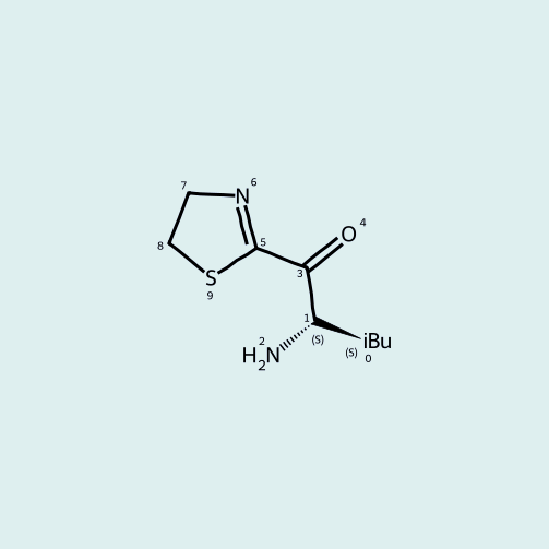 CC[C@H](C)[C@H](N)C(=O)C1=NCCS1